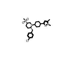 Cc1cc(C2CCC(N3C[C@H](S(C)(=O)=O)CC[C@@H]3Cc3ccc(Cl)cc3)CC2)nn1C